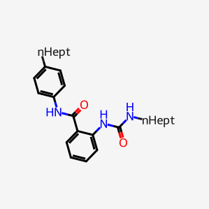 CCCCCCCNC(=O)Nc1ccccc1C(=O)Nc1ccc(CCCCCCC)cc1